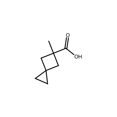 CC1(C(=O)O)CC2(CC2)C1